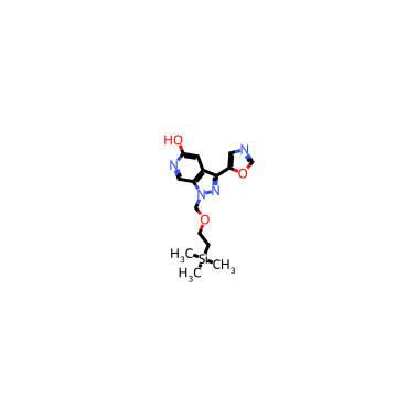 C[Si](C)(C)CCOCn1nc(-c2cnco2)c2cc(O)ncc21